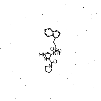 O=C(c1n[nH]cc1NS(=O)(=O)CCc1cccc2ccccc12)N1CCCC1